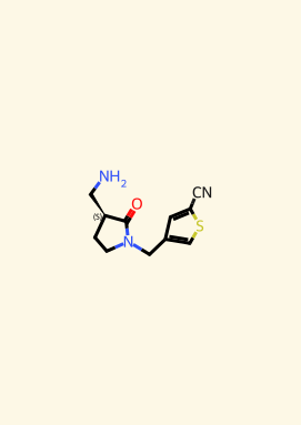 N#Cc1cc(CN2CC[C@@H](CN)C2=O)cs1